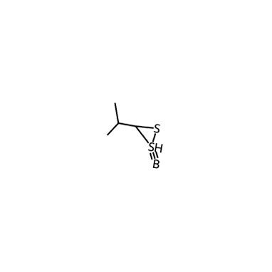 B#[SH]1SC1C(C)C